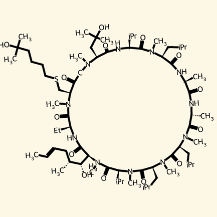 C/C=C/C[C@@H](C)[C@@H](O)[C@H]1C(=O)N[C@@H](CC)C(=O)N(C)[C@@H](CSCCCCC(C)(C)O)C(=O)CN(C)[C@@H](CC(C)(C)O)C(=O)N[C@@H](C(C)C)C(=O)N(C)[C@@H](CC(C)C)C(=O)N[C@@H](C)C(=O)N[C@H](C)C(=O)N(C)[C@@H](CC(C)C)C(=O)N(C)[C@@H](CC(C)C)C(=O)N(C)[C@@H](C(C)C)C(=O)N1C